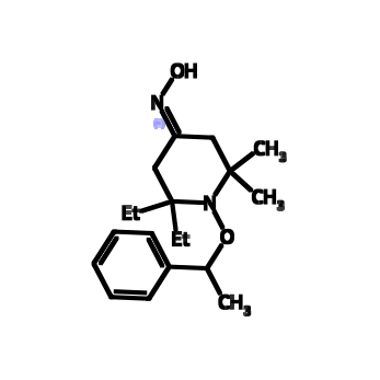 CCC1(CC)C/C(=N/O)CC(C)(C)N1OC(C)c1ccccc1